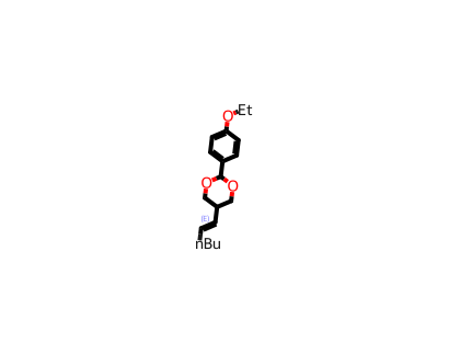 CCCC/C=C/C1COC(c2ccc(OCC)cc2)OC1